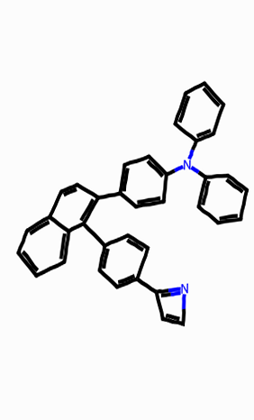 C1=CC(c2ccc(-c3c(-c4ccc(N(c5ccccc5)c5ccccc5)cc4)ccc4ccccc34)cc2)=N1